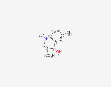 CCN1C=C(C(=O)O)C(O)c2cc(C(F)(F)F)ccc21